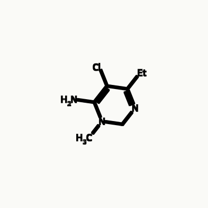 CCC1=NCN(C)C(N)=C1Cl